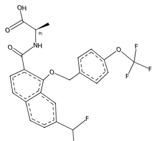 C[C@@H](NC(=O)c1ccc2ccc(C(F)F)cc2c1OCc1ccc(OC(F)(F)F)cc1)C(=O)O